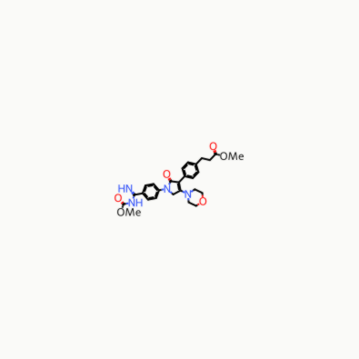 COC(=O)CCc1ccc(C2=C(N3CCOCC3)CN(c3ccc(C(=N)NC(=O)OC)cc3)C2=O)cc1